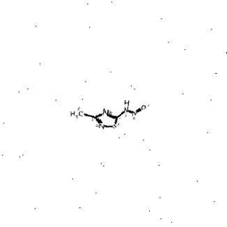 Cc1nsc(NN=O)n1